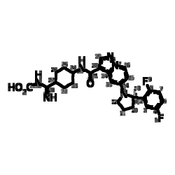 C[C@]1(c2cc(F)ccc2F)CCCN1c1ccn2ncc(C(=O)NC3CCC(C(=N)NC(=O)O)CC3)c2c1